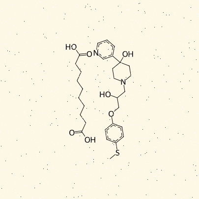 CSc1ccc(OCC(O)CN2CCC(O)(c3cccnc3)CC2)cc1.O=C(O)CCCCCCCCC(=O)O